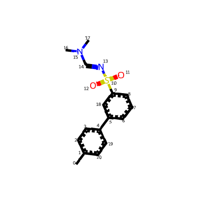 Cc1ccc(-c2cccc(S(=O)(=O)/N=C/N(C)C)c2)cc1